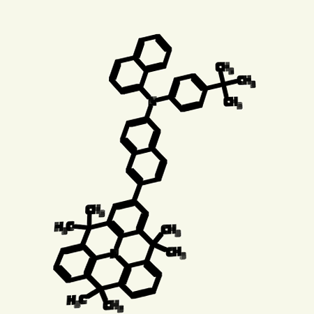 CC(C)(C)c1ccc(N(c2ccc3cc(-c4cc5c6c(c4)C(C)(C)c4cccc7c4N6c4c(cccc4C5(C)C)C7(C)C)ccc3c2)c2cccc3ccccc23)cc1